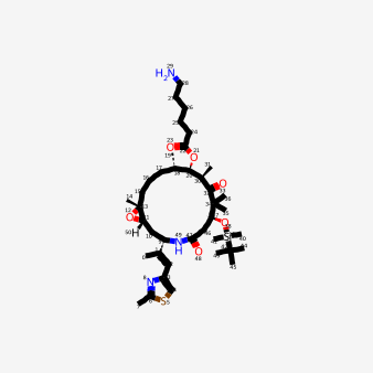 C/C(=C\c1csc(C)n1)[C@@H]1C[C@@H]2O[C@]2(C)CCC[C@H](C)[C@H](OC(=O)CCCCCN)[C@@H](C)C(=O)C(C)(C)[C@@H](O[Si](C)(C)C(C)(C)C)CC(=O)N1